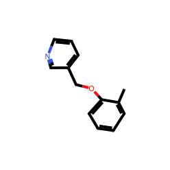 Cc1ccccc1OCc1cccnc1